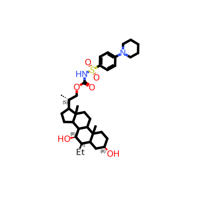 CC[C@@H]1C2C[C@H](O)CCC2(C)C2CCC3(C)C(CCC3[C@H](C)COC(=O)NS(=O)(=O)c3ccc(N4CCCCC4)cc3)C2[C@@H]1O